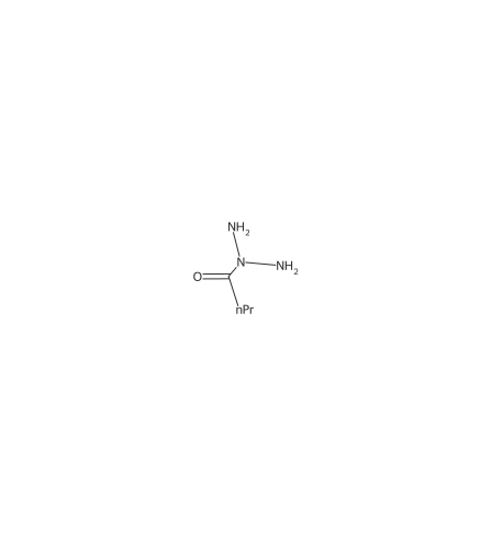 CCCC(=O)N(N)N